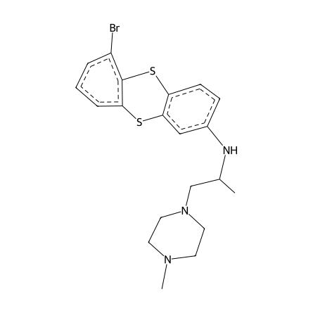 CC(CN1CCN(C)CC1)Nc1ccc2c(c1)Sc1cccc(Br)c1S2